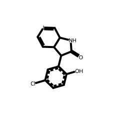 O=C1NC2C=IC=CC2C1c1cc(Cl)ccc1O